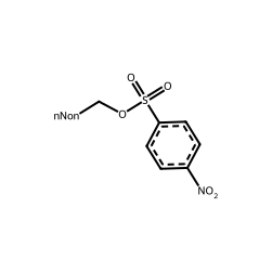 CCCCCCCCCCOS(=O)(=O)c1ccc([N+](=O)[O-])cc1